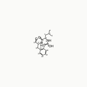 CC(C)CC(NC(=O)O)C(=O)NC(C=O)Cc1ccccc1